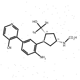 [2H]C([2H])(O)[C@@H]1C[C@H](NC(=O)O)CN1c1cc(-c2cnccc2C#N)ccc1N